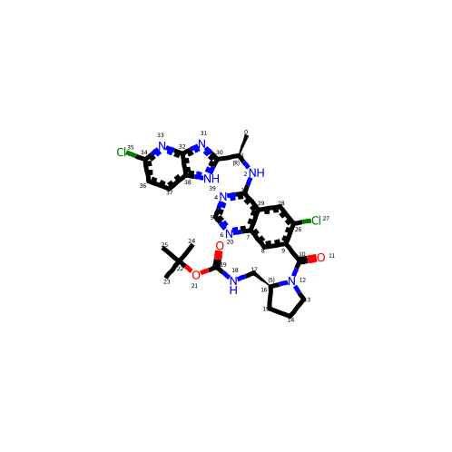 C[C@@H](Nc1ncnc2cc(C(=O)N3CCC[C@H]3CNC(=O)OC(C)(C)C)c(Cl)cc12)c1nc2nc(Cl)ccc2[nH]1